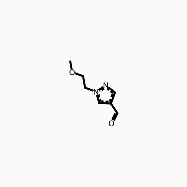 COCCn1cc(C=O)cn1